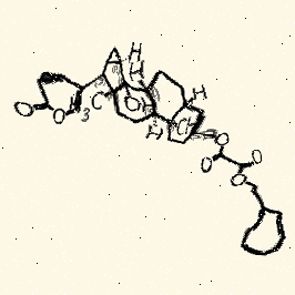 C[C@]12CC[C@H](OC(=O)C(=O)OCc3ccccc3)C[C@H]1CC[C@@H]1[C@@H]2CC[C@]2(C)[C@@H](c3ccc(=O)oc3)C3C[C@H]3[C@]12O